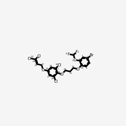 FC(F)Oc1cc(Br)ccc1OCCCOc1c(Cl)cc(OCC=C(Cl)Cl)cc1Cl